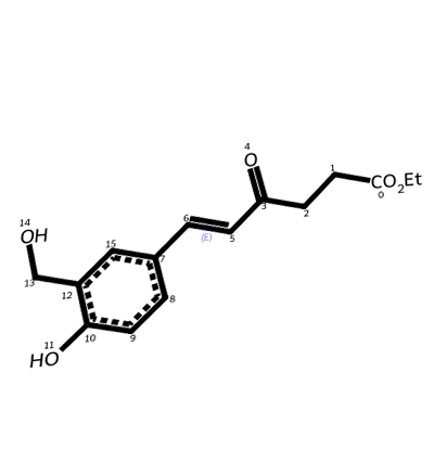 CCOC(=O)CCC(=O)/C=C/c1ccc(O)c(CO)c1